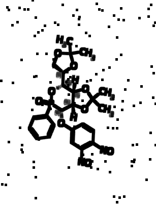 CC1(C)O[C@H]2[C@@H]([C@H]3COC(C)(C)O3)OP(=O)(c3ccccc3)[C@@H](Oc3ccc(N=O)c(N=O)c3)[C@H]2O1